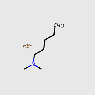 Br.CN(C)CCCCC=O